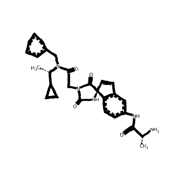 C[C@@H](N)C(=O)Nc1ccc2c(c1)C=C[C@]21NC(=O)N(CC(=O)N(Cc2ccccc2)[C@@H](C)C2CC2)C1=O